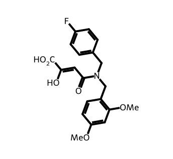 COc1ccc(CN(Cc2ccc(F)cc2)C(=O)/C=C(\O)C(=O)O)c(OC)c1